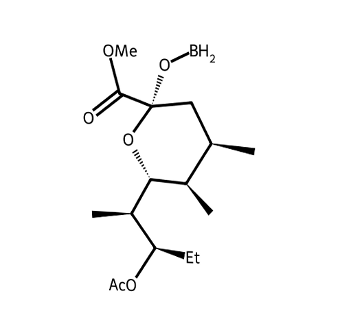 BO[C@]1(C(=O)OC)C[C@@H](C)[C@@H](C)[C@H]([C@H](C)[C@@H](CC)OC(C)=O)O1